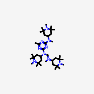 Cc1nc(N(C)C2CC(C)(C)N(C)C(C)(C)C2)nc(N(CN(C)C2CC(C)(C)N(C)C(C)(C)C2)C2CC(C)(C)N(C)C(C)(C)C2)n1